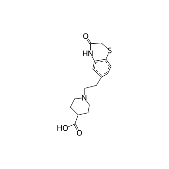 O=C1CSc2ccc(CCN3CCC(C(=O)O)CC3)cc2N1